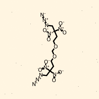 [N-]=[N+]=NCC(CCOCOCCC(CN=[N+]=[N-])([N+](=O)[O-])[N+](=O)[O-])([N+](=O)[O-])[N+](=O)[O-]